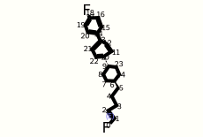 F/C=C/CCC[C@H]1CC[C@H](c2ccc(-c3ccc(F)cc3)cc2)CC1